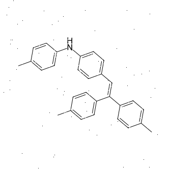 Cc1ccc(Nc2ccc(C=C(c3ccc(C)cc3)c3ccc(C)cc3)cc2)cc1